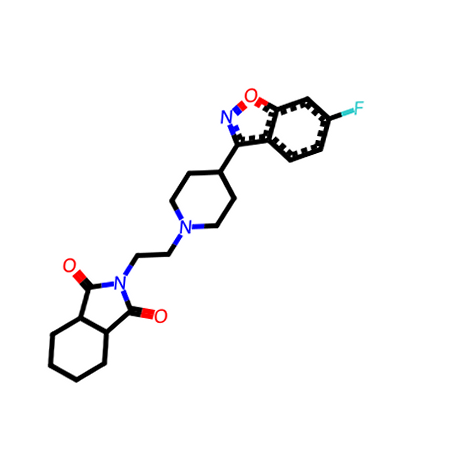 O=C1C2CCCCC2C(=O)N1CCN1CCC(c2noc3cc(F)ccc23)CC1